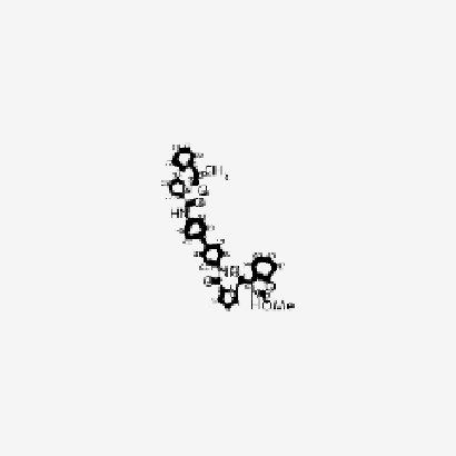 COC(=O)N[C@@H](C(=O)N1CCC[C@H]1C(=O)Nc1ccc(-c2ccc(NC(=O)[C@@H]3CCCN3C(=O)[C@H](C)c3ccccc3)cc2)cc1)c1ccccc1